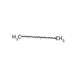 CCCCCCCCCCCCC[CH]CCCCCCCCCCCCCCCC